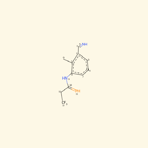 Cc1c(C=N)cccc1NC(=P)CC(F)(F)F